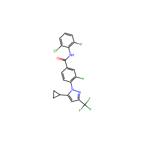 O=C(Nc1c(F)cccc1Cl)c1ccc(-n2nc(C(F)(F)F)cc2C2CC2)c(F)c1